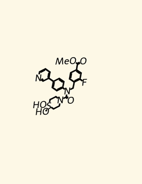 COC(=O)c1ccc(CN(C(=O)N2CCS(O)(O)CC2)c2ccc(-c3cccnc3)cc2)c(F)c1